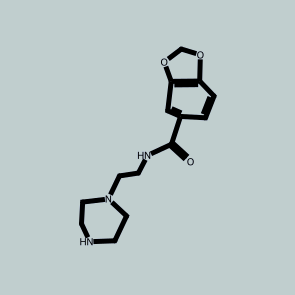 O=C(NCCN1CCNCC1)c1ccc2c(c1)OCO2